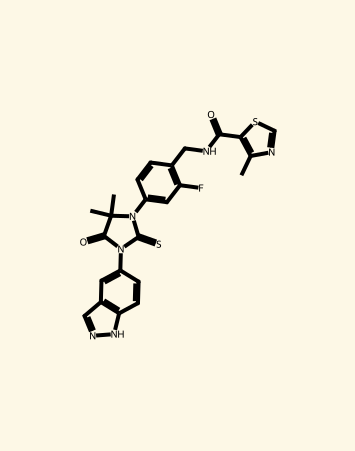 Cc1ncsc1C(=O)NCc1ccc(N2C(=S)N(c3ccc4[nH]ncc4c3)C(=O)C2(C)C)cc1F